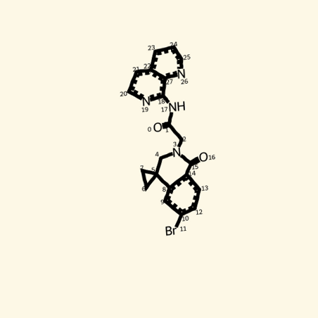 O=C(CN1CC2(CC2)c2cc(Br)ccc2C1=O)Nc1nccc2cccnc12